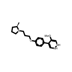 COC1=CNNC=C1c1ccc(OCCCN2CCC[C@H]2C)cc1